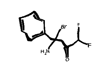 NC(Br)(C(=O)C(F)F)c1ccccc1